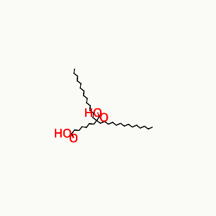 CCCCCCCCCCCCCCC(CCCCCCCCCCCCCC)(CCCCCCC(=O)O)C(=O)O